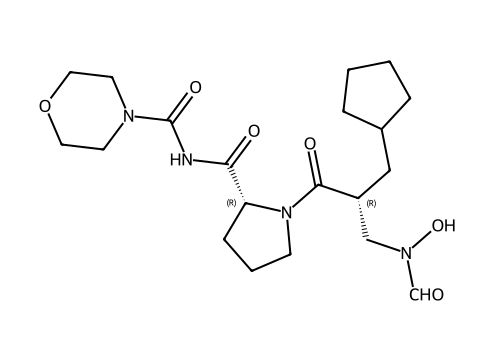 O=CN(O)C[C@@H](CC1CCCC1)C(=O)N1CCC[C@@H]1C(=O)NC(=O)N1CCOCC1